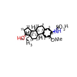 COc1cc2c(cc1NS(=O)(=O)O)CC[C@@H]1[C@@H]2CC[C@]2(C)[C@@H](O)CC[C@@H]12